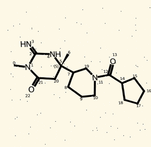 CN1C(=N)N[C@](C)(C2CCCN(C(=O)C3CCCC3)C2)CC1=O